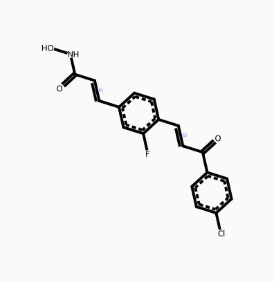 O=C(/C=C/c1ccc(/C=C/C(=O)c2ccc(Cl)cc2)c(F)c1)NO